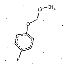 COCOc1[c]cc(F)cc1